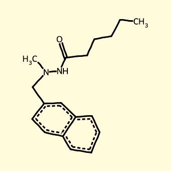 CCCCCC(=O)NN(C)Cc1ccc2ccccc2c1